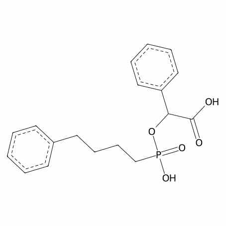 O=C(O)C(OP(=O)(O)CCCCc1ccccc1)c1ccccc1